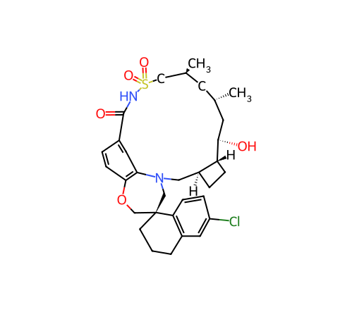 C[C@H]1C[C@H](C)CS(=O)(=O)NC(=O)c2ccc3c(c2)N(C[C@@H]2CC[C@H]2[C@@H](O)C1)C[C@@]1(CCCc2cc(Cl)ccc21)CO3